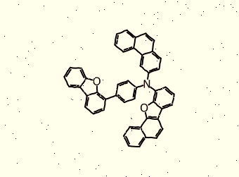 c1ccc2c(c1)ccc1ccc(N(c3ccc(-c4cccc5c4oc4ccccc45)cc3)c3cccc4c3oc3c5ccccc5ccc43)cc12